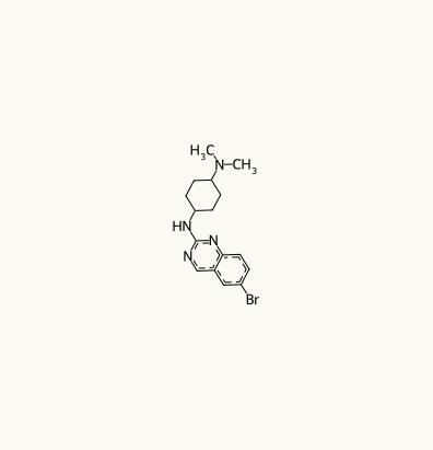 CN(C)C1CCC(Nc2ncc3cc(Br)ccc3n2)CC1